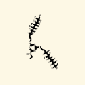 [CH2]CN(C)c1nc(OCCC(F)(F)C(F)(F)C(F)(F)C(F)(F)C(F)(F)C(F)(F)F)nc(OCCC(F)(F)C(F)(F)C(F)(F)C(F)(F)C(F)(F)C(F)(F)F)n1